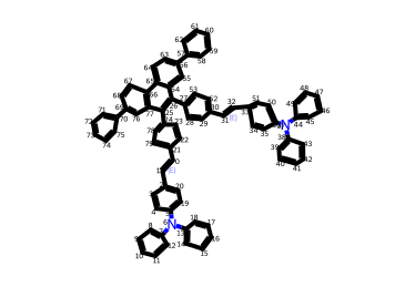 C(=C\c1ccc(N(c2ccccc2)c2ccccc2)cc1)/c1ccc(-c2c(-c3ccc(/C=C/c4ccc(N(c5ccccc5)c5ccccc5)cc4)cc3)c3cc(-c4ccccc4)ccc3c3ccc(-c4ccccc4)cc23)cc1